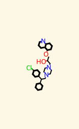 OC(COc1cccc2ncccc12)CN1CCN(CC(c2ccccc2)c2ccc(Cl)cc2)CC1